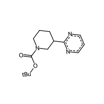 CC(C)(C)OC(=O)N1CCCC(c2ncccn2)C1